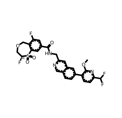 COc1nc(C(F)F)ccc1-c1ccc2cnc(CNC(=O)c3cc(F)c4c(c3)S(=O)(=O)[C@@H](F)COC4)cc2c1